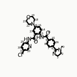 CN1CCN=C1c1ccc(C(=O)Nc2ccc(N3CCOCC3)cc2C(=O)Nc2ccc(Cl)cn2)cc1